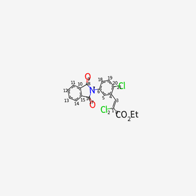 CCOC(=O)C(Cl)=Cc1cc(N2C(=O)c3ccccc3C2=O)ccc1Cl